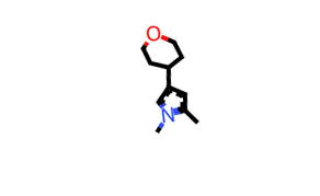 Cc1cc(C2CCOCC2)cn1C